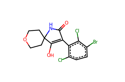 O=C1NC2(CCOCC2)C(O)=C1c1c(Cl)ccc(Br)c1Cl